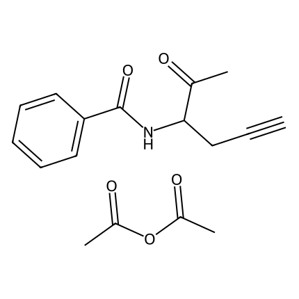 C#CCC(NC(=O)c1ccccc1)C(C)=O.CC(=O)OC(C)=O